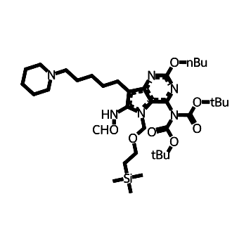 CCCCOc1nc(N(C(=O)OC(C)(C)C)C(=O)OC(C)(C)C)c2c(n1)c(CCCCCN1CCCCC1)c(NC=O)n2COCC[Si](C)(C)C